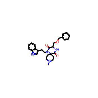 CN1CCC2(CC1)C(=O)NC(COCc1ccccc1)C(=O)N2CCc1c[nH]c2ccccc12